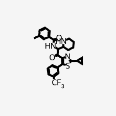 Cc1cccc(C(=O)NC(C(=O)c2nc(C3CC3)sc2-c2cccc(C(F)(F)F)c2)C2CCCCN2)c1